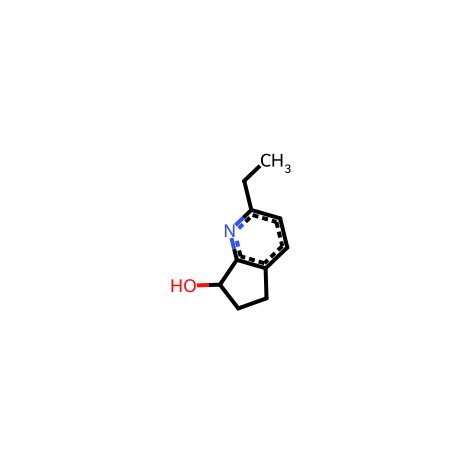 CCc1ccc2c(n1)C(O)CC2